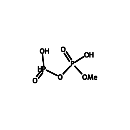 COP(=O)(O)O[PH](=O)O